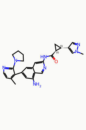 Cc1ccnc(N2CCCC2)c1-c1cc(N)c2cnc(NC(=O)[C@H]3C[C@@H]3c3cnn(C)c3)cc2c1